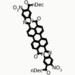 CCCCCCCCCCC(=O)c1cc2c(cc1[N+](=O)[O-])nc1c3ccc4c5ccc6c(=O)n7c8cc(C(=O)CCCCCCCCCC)c([N+](=O)[O-])cc8nc7c7ccc(c8ccc(c(=O)n21)c3c84)c5c67